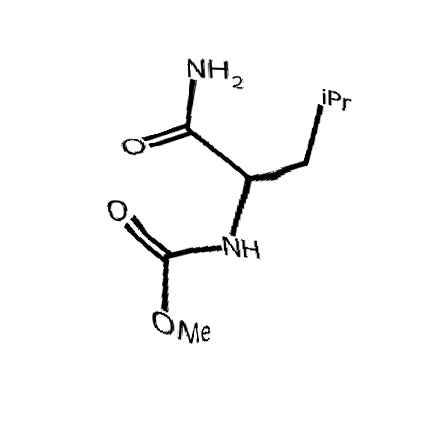 COC(=O)NC(CC(C)C)C(N)=O